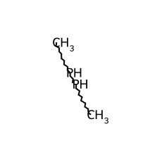 CCCCCCCCCCPCCCPCCCCCCCCCC